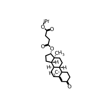 CC(C)OC(=O)CCC(=O)O[C@H]1CC[C@H]2[C@@H]3CCC4=CC(=O)CC[C@]4(C)[C@H]3CC[C@]12C